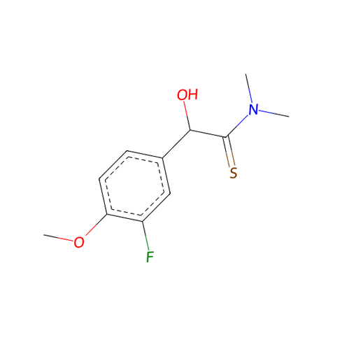 COc1ccc(C(O)C(=S)N(C)C)cc1F